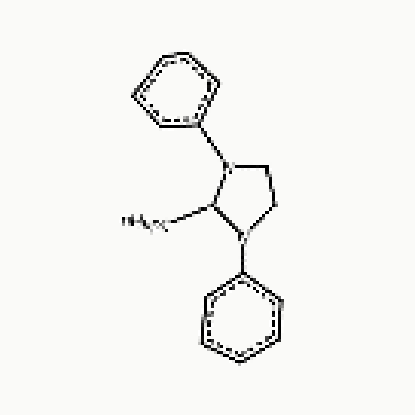 CCCCCCCC1N(c2ccccc2)CCN1c1ccccc1